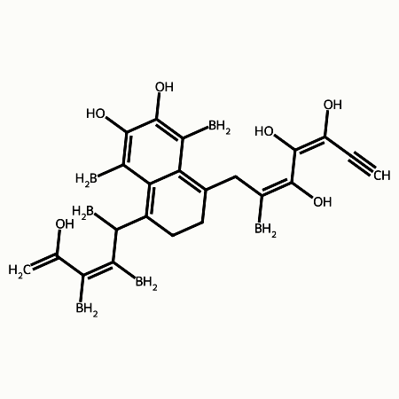 B/C(C(=C)O)=C(\B)C(B)C1=c2c(B)c(O)c(O)c(B)c2=C(C/C(B)=C(O)\C(O)=C(\O)C#C)CC1